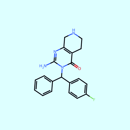 Nc1nc2c(c(=O)n1C(c1ccccc1)c1ccc(F)cc1)CCNC2